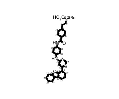 CC(C)(C)N(CCc1ccc(C(=O)Nc2ccc(Nc3cc(-c4cccc5c4oc4ccccc45)ncn3)cc2)cc1)C(=O)O